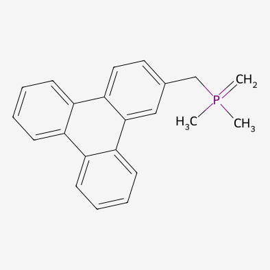 C=P(C)(C)Cc1ccc2c3ccccc3c3ccccc3c2c1